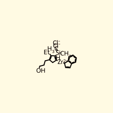 CCC1=C(CCCO)C[C]([Zr+2][CH]2C=Cc3ccccc32)=C1[SiH](C)C.[Cl-].[Cl-]